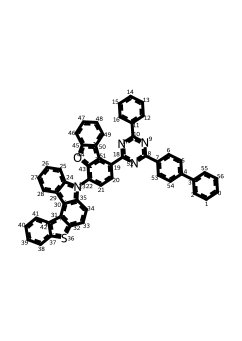 c1ccc(-c2ccc(-c3nc(-c4ccccc4)nc(-c4ccc(-n5c6ccccc6c6c7c(ccc65)sc5ccccc57)c5oc6ccccc6c45)n3)cc2)cc1